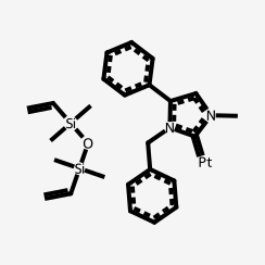 C=C[Si](C)(C)O[Si](C)(C)C=C.Cn1cc(-c2ccccc2)n(Cc2ccccc2)[c]1=[Pt]